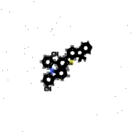 CC1(C)c2ccccc2-c2ccc3c(sc4ccc(-c5c(C#N)cccc5-n5c6ccccc6c6cc(C#N)ccc65)cc43)c21